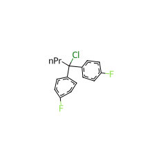 CCCC(Cl)(c1ccc(F)cc1)c1ccc(F)cc1